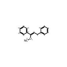 N#COC(=CCc1ccccc1)c1ccccc1